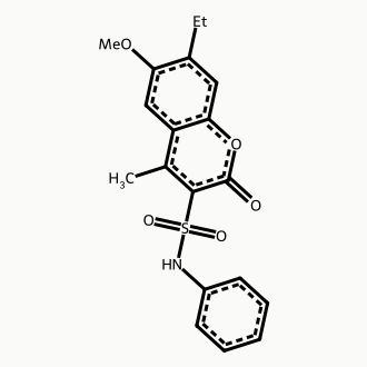 CCc1cc2oc(=O)c(S(=O)(=O)Nc3ccccc3)c(C)c2cc1OC